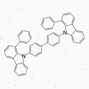 c1ccc(-c2cccc3c4ccccc4n(-c4ccc(-c5ccc(-n6c7ccccc7c7cccc(-c8ccccc8)c76)cc5)cc4)c23)cc1